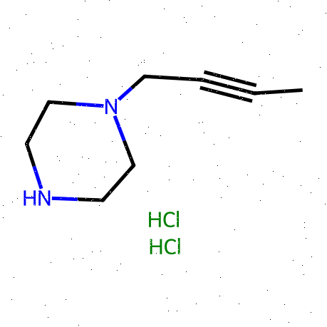 CC#CCN1CCNCC1.Cl.Cl